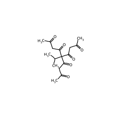 CC(=O)CC(=O)C(C(=O)CC(C)=O)(C(=O)CC(C)=O)C(C)C